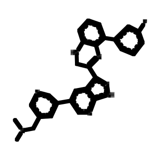 CN(C)Cc1cncc(-c2cnc3[nH]nc(C4=Nc5c(cccc5-c5cccc(F)c5)NC4)c3c2)c1